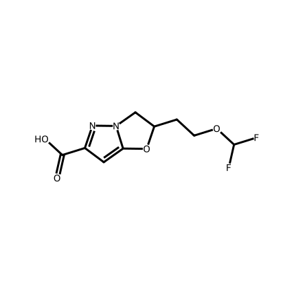 O=C(O)c1cc2n(n1)CC(CCOC(F)F)O2